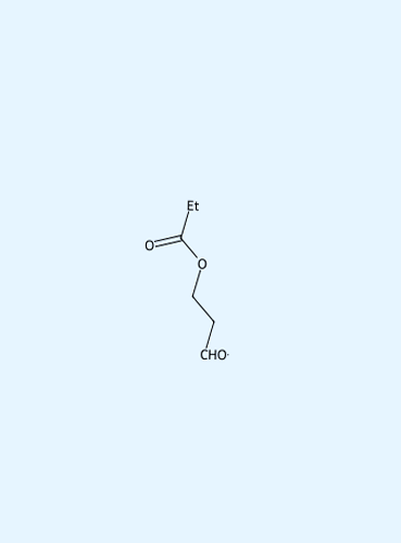 CCC(=O)OCC[C]=O